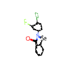 O=c1c2ccccc2[se]n1-c1ccc(Cl)c(F)c1